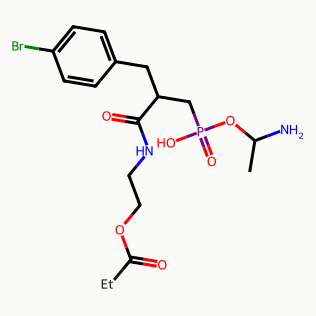 CCC(=O)OCCNC(=O)C(Cc1ccc(Br)cc1)CP(=O)(O)OC(C)N